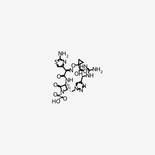 N=C(N)NCc1cn(C[C@H]2[C@H](NC(=O)C(=NOC3(C(=O)O)CC3)c3csc(N)n3)C(=O)N2S(=O)(=O)O)nn1